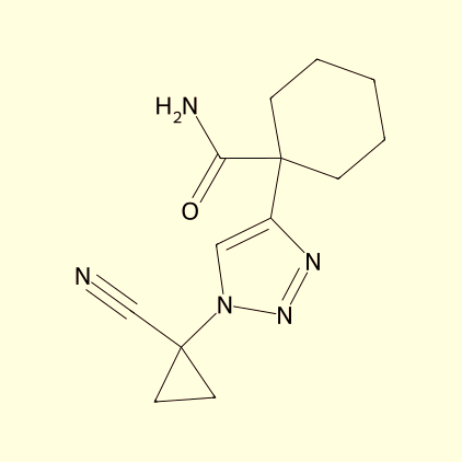 N#CC1(n2cc(C3(C(N)=O)CCCCC3)nn2)CC1